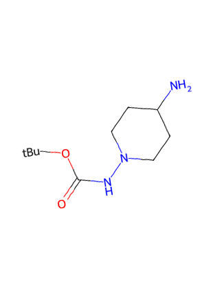 CC(C)(C)OC(=O)NN1CCC(N)CC1